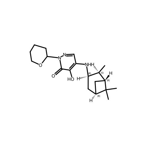 C[C@H]1[C@H]2C[C@H](C[C@H]1Nc1cnn(C3CCCCO3)c(=O)c1O)C2(C)C